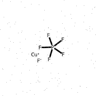 FP(F)(F)(F)F.[Cu+].[F-]